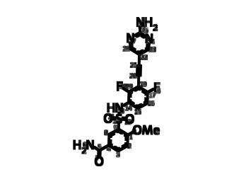 COc1ccc(C(N)=O)cc1S(=O)(=O)Nc1ccc(F)c(C#Cc2cnc(N)nc2)c1F